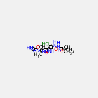 Cc1[nH]c(C=C2C(=O)Nc3cc(NC(=O)Nc4cc(C(C)(C)C)on4)ccc32)c(C)c1NC(=O)C1CCNC1.Cl